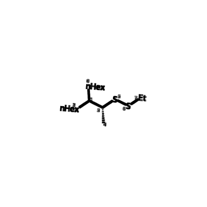 CCCCCCC(CCCCCC)[C@@H](C)SSCC